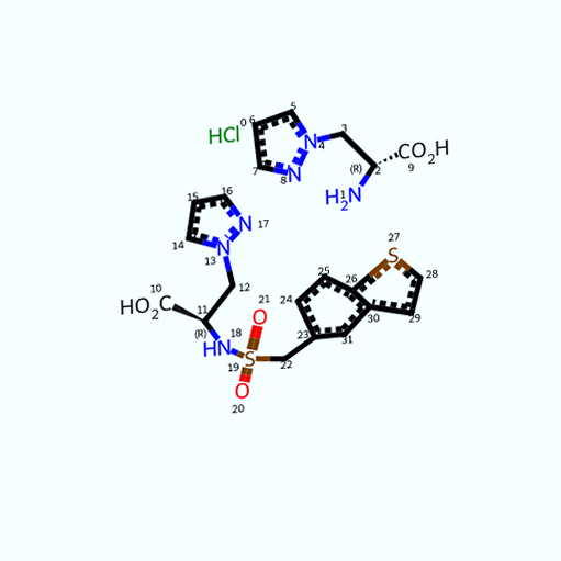 Cl.N[C@H](Cn1cccn1)C(=O)O.O=C(O)[C@@H](Cn1cccn1)NS(=O)(=O)Cc1ccc2sccc2c1